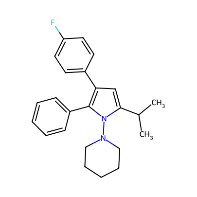 CC(C)c1cc(-c2ccc(F)cc2)c(-c2ccccc2)n1N1CCCCC1